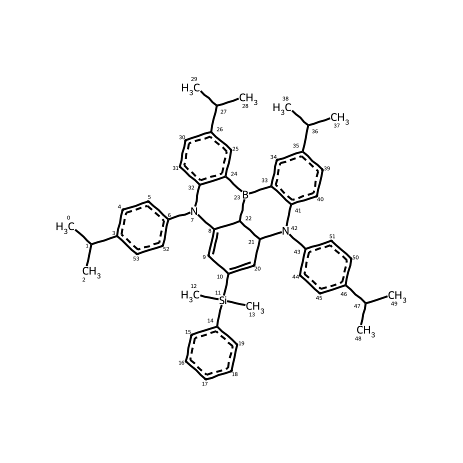 CC(C)c1ccc(N2C3=CC([Si](C)(C)c4ccccc4)=CC4C3B(c3cc(C(C)C)ccc32)c2cc(C(C)C)ccc2N4c2ccc(C(C)C)cc2)cc1